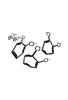 [Bi+3].[Bi+3].[O-]c1ccccc1[O-].[O-]c1ccccc1[O-].[O-]c1ccccc1[O-]